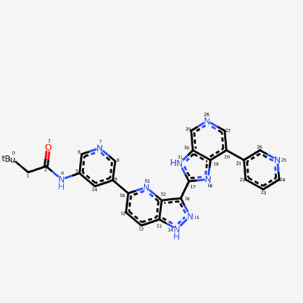 CC(C)(C)CC(=O)Nc1cncc(-c2ccc3[nH]nc(-c4nc5c(-c6cccnc6)cncc5[nH]4)c3n2)c1